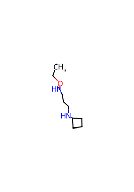 CCONCCCNC1CCC1